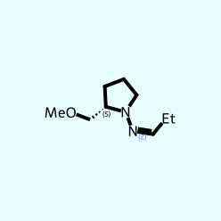 CC/C=N\N1CCC[C@H]1COC